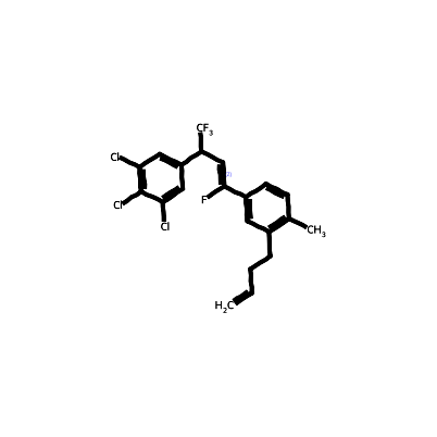 C=CCCc1cc(/C(F)=C/C(c2cc(Cl)c(Cl)c(Cl)c2)C(F)(F)F)ccc1C